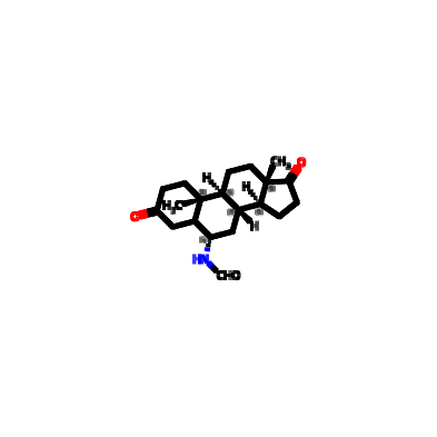 C[C@]12CCC(=O)CC1[C@@H](NC=O)C[C@@H]1[C@@H]2CC[C@]2(C)C(=O)CC[C@@H]12